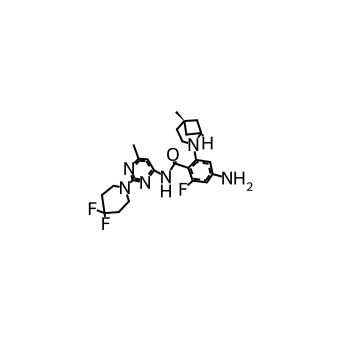 Cc1cc(NC(=O)c2c(F)cc(N)cc2N2CC[C@]3(C)C[C@H]2C3)nc(N2CCC(F)(F)CC2)n1